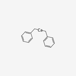 c1ccc([CH2][Ca][CH2]c2ccccc2)cc1